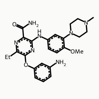 CCc1nc(C(N)=O)c(Nc2ccc(OC)c(N3CCN(C)CC3)c2)nc1Oc1cccc(N)c1